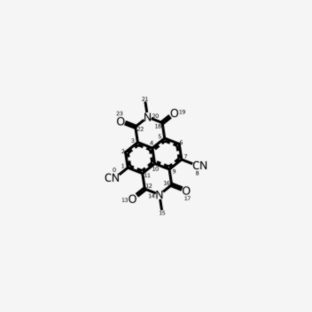 [C-]#[N+]c1cc2c3c(cc(C#N)c4c3c1C(=O)N(C)C4=O)C(=O)N(C)C2=O